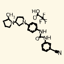 CC1CCCN1C1CCN(c2ccc(NC(=O)Nc3cccc(C#N)c3)cc2)C1.O=C(O)C(F)(F)F